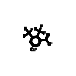 O=C([O-])c1cccc(C(F)(F)F)c1C(F)(F)F.[Cu+]